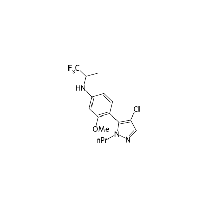 CCCn1ncc(Cl)c1-c1ccc(NC(C)C(F)(F)F)cc1OC